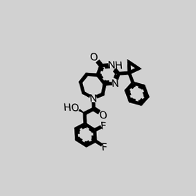 O=C([C@H](O)c1cccc(F)c1F)N1CCCc2c(nc(C3(c4ccccc4)CC3)[nH]c2=O)C1